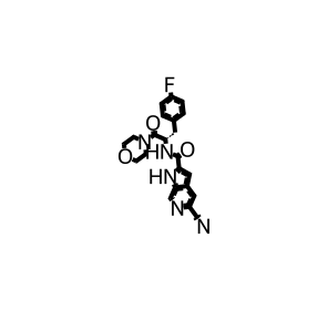 N#Cc1cc2cc(C(=O)N[C@@H](Cc3ccc(F)cc3)C(=O)N3CCOCC3)[nH]c2cn1